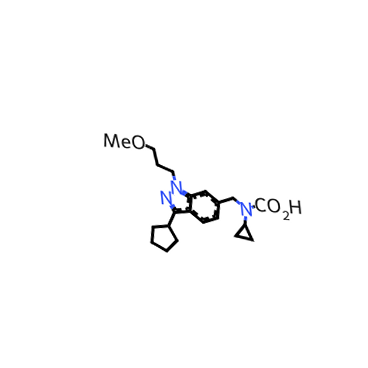 COCCCn1nc(C2CCCC2)c2ccc(CN(C(=O)O)C3CC3)cc21